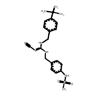 CC(C)(C)c1ccc(CN/C(=N\C#N)NCc2ccc(NS(C)(=O)=O)cc2)cc1